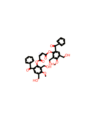 COc1c(CO)cc(C(=O)c2ccccc2)c(OC(=O)/C=C\C(=O)Oc2c(C(=O)c3ccccc3)cc(CO)c(OC)c2CO)c1CO